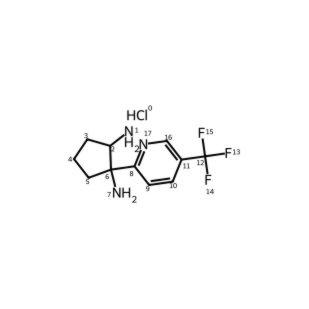 Cl.NC1CCCC1(N)c1ccc(C(F)(F)F)cn1